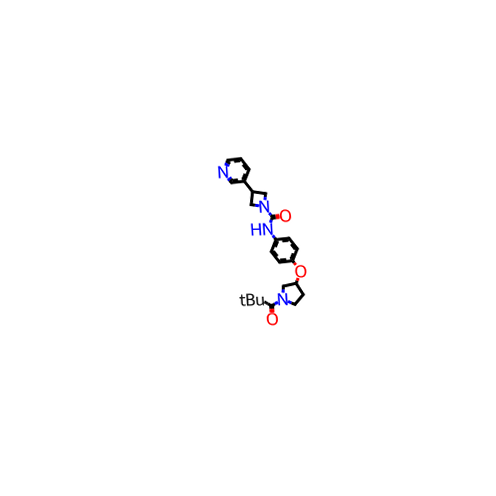 CC(C)(C)C(=O)N1CCC(Oc2ccc(NC(=O)N3CC(c4cccnc4)C3)cc2)C1